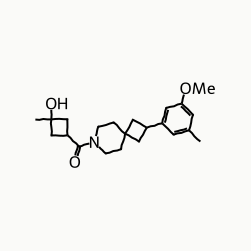 COc1cc(C)cc(C2CC3(CCN(C(=O)C4CC(C)(O)C4)CC3)C2)c1